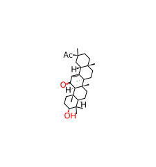 CC(=O)[C@@]1(C)CC[C@]2(C)CC[C@]3(C)C(=CC(=O)[C@@H]4[C@@]5(C)CC[C@H](O)C(C)(C)[C@@H]5CC[C@]43C)[C@@H]2C1